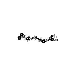 CN(CCCCC(=O)Nc1ccc(CNC[C@H](O)c2ccc(O)c3[nH]c(=O)ccc23)cc1)C(=O)CCN1C[C@H]2C[C@H](OC(=O)Nc3ccccc3-c3ccccc3)C[C@H]2C1